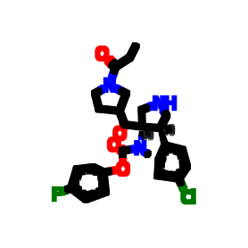 CCC(=O)N1CCC(C(=O)[C@@]2(N(C)C(=O)Oc3ccc(F)cc3)CNC[C@H]2c2ccc(Cl)cc2)C1